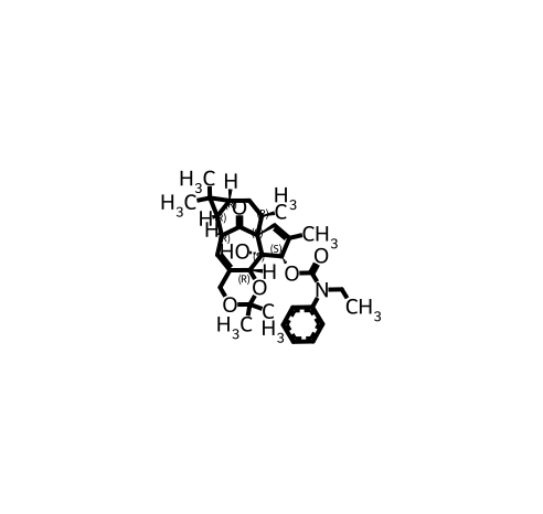 CCN(C(=O)O[C@H]1C(C)=C[C@]23C(=O)[C@@H](C=C4COC(C)(C)O[C@H]4[C@]12O)[C@H]1[C@@H](C[C@H]3C)C1(C)C)c1ccccc1